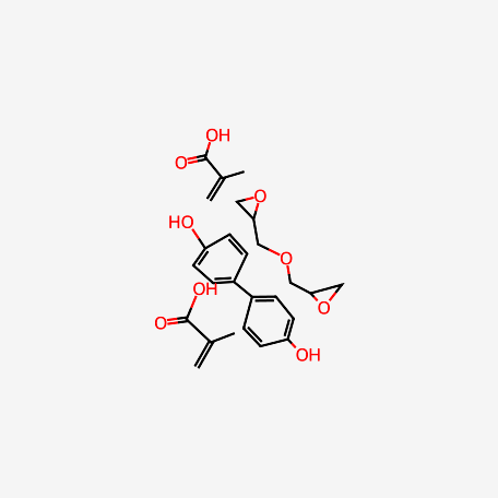 C(OCC1CO1)C1CO1.C=C(C)C(=O)O.C=C(C)C(=O)O.Oc1ccc(-c2ccc(O)cc2)cc1